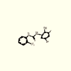 Oc1c(F)cc(Br)cc1NC(=S)Nc1ccccc1C(F)(F)F